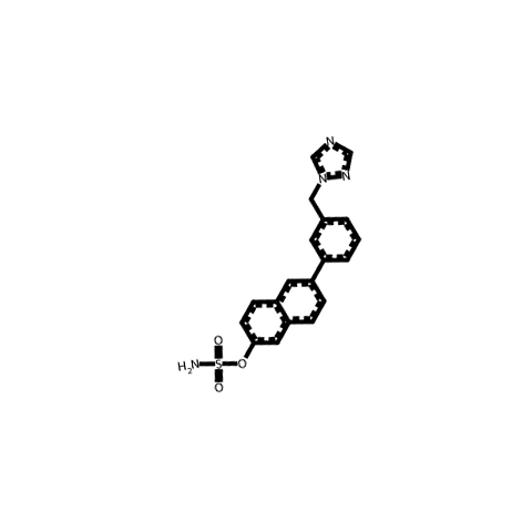 NS(=O)(=O)Oc1ccc2cc(-c3cccc(Cn4cncn4)c3)ccc2c1